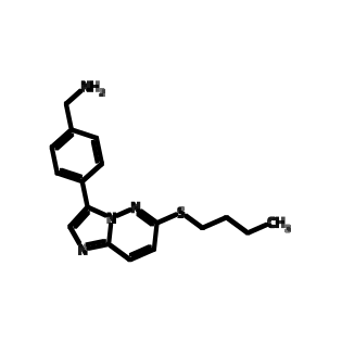 CCCCSc1ccc2ncc(-c3ccc(CN)cc3)n2n1